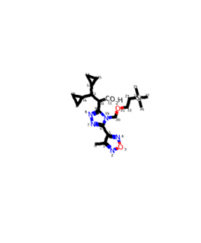 Cc1nonc1-c1nnc(C(C(=O)O)C(C2CC2)C2CC2)n1COCC[Si](C)(C)C